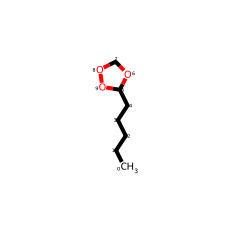 CCCCCC1OCOO1